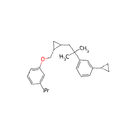 CC(C)c1cccc(OCC2CC2CC(C)(C)c2cccc(C3CC3)c2)c1